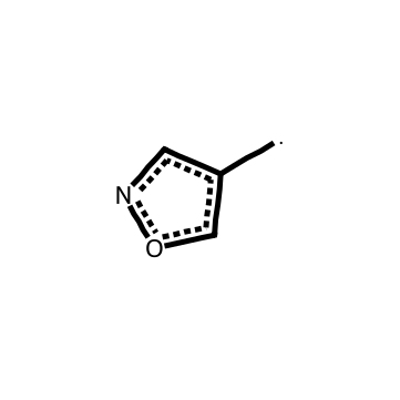 [CH2]c1cnoc1